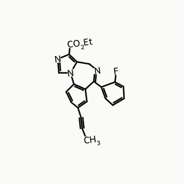 CC#Cc1ccc2c(c1)C(c1ccccc1F)=NCc1c(C(=O)OCC)ncn1-2